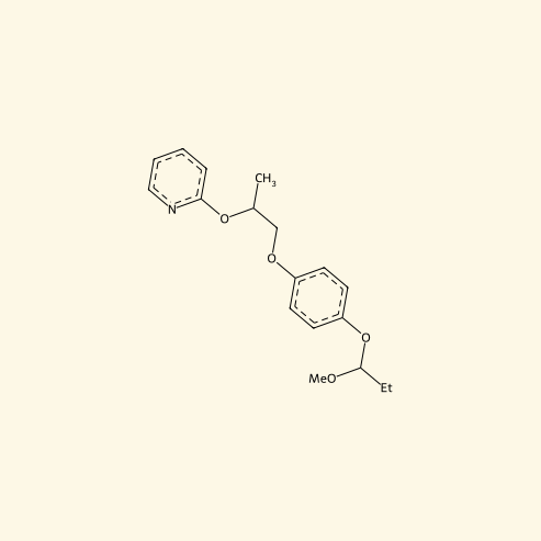 CCC(OC)Oc1ccc(OCC(C)Oc2ccccn2)cc1